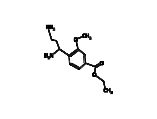 CCOC(=O)c1ccc(C(N)CCN)c(OC)c1